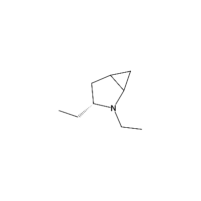 CC[C@@H]1CC2CC2N1CC